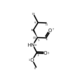 COC(=O)N[C@H](C=O)CC(C)C